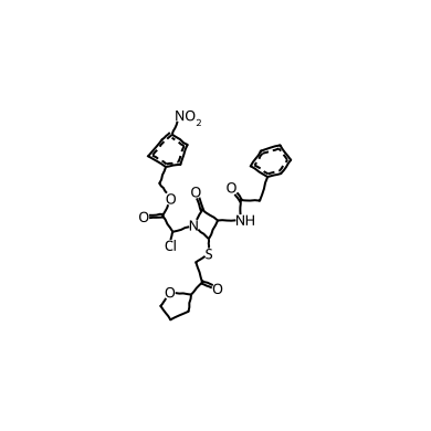 O=C(Cc1ccccc1)NC1C(=O)N(C(Cl)C(=O)OCc2ccc([N+](=O)[O-])cc2)C1SCC(=O)C1CCCO1